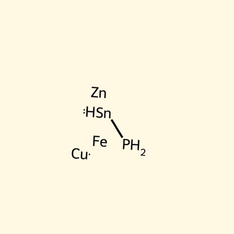 [Cu].[Fe].[PH2][SnH].[Zn]